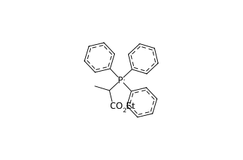 CCOC(=O)C(C)[P](c1ccccc1)(c1ccccc1)c1ccccc1